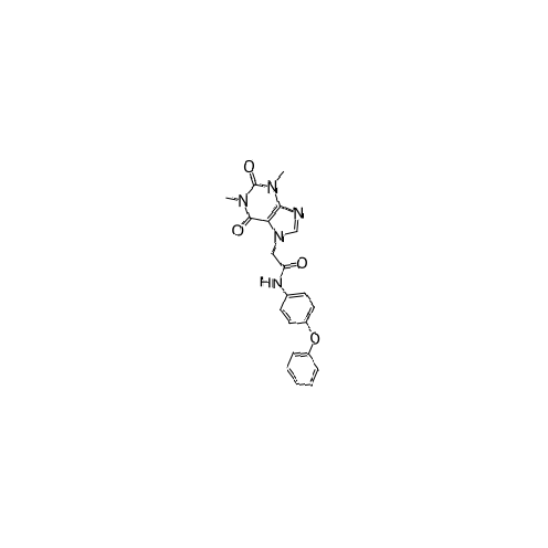 Cn1c(=O)c2c(ncn2CC(=O)Nc2ccc(Oc3ccccc3)cc2)n(C)c1=O